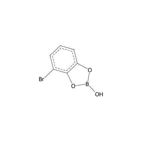 OB1Oc2cccc(Br)c2O1